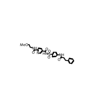 COCCNC(=O)c1ccc(C(=O)NS(=O)(=O)c2ccc(NC(=O)CCc3ccccc3)cc2)cn1